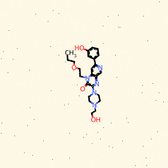 CCCOCCn1c(=O)c(N2CCN(CCO)CC2)nc2cnc(-c3cccc(O)c3)cc21